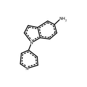 Nc1ccc2c(ccn2-c2ccncc2)c1